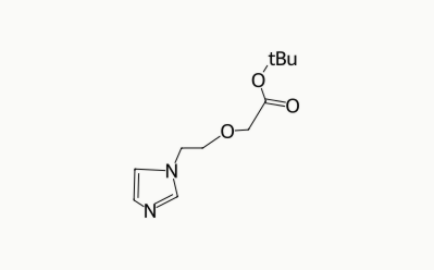 CC(C)(C)OC(=O)COCCn1ccnc1